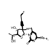 Cc1cc(N)nc(=O)n1[C@@H]1OC([C@H](C)O)[C@H](O)C1(N)C#CCF